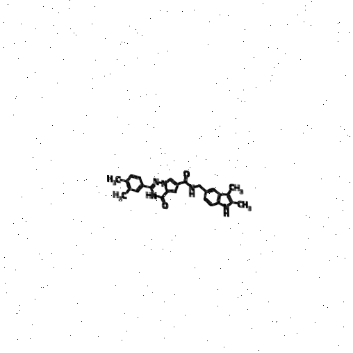 Cc1ccc(-c2nn3cc(C(=O)NCc4ccc5[nH]c(C)c(C)c5c4)cc3c(=O)[nH]2)cc1C